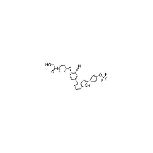 N#Cc1cc(-c2nccc3[nH]c(-c4ccc(OC(F)(F)F)cc4)cc23)ccc1OC1CCN(C(=O)CO)CC1